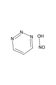 O=NO.c1cnnnc1